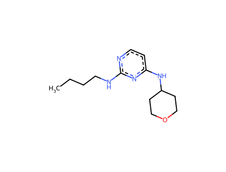 CCCCNc1nccc(NC2CCOCC2)n1